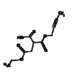 CC#CCOC(=O)C(CC(=O)OCC)C(=O)O